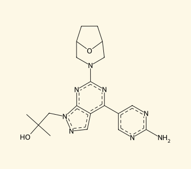 CC(C)(O)Cn1ncc2c(-c3cnc(N)nc3)nc(N3CC4CCC(C3)O4)nc21